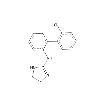 Clc1ccccc1-c1ccccc1NC1=NCCN1